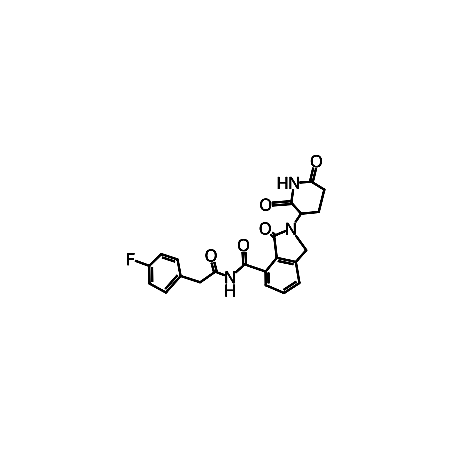 O=C(Cc1ccc(F)cc1)NC(=O)c1cccc2c1C(=O)N(C1CCC(=O)NC1=O)C2